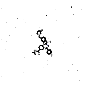 CC(C)NC(=O)C1CCC(n2/c(=N\C(=O)c3ccc(F)cc3)[nH]c3ccc(CN4CCC(F)(F)C4)cc32)CC1